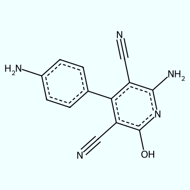 N#Cc1c(N)nc(O)c(C#N)c1-c1ccc(N)cc1